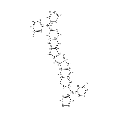 Cc1cccc(N(C2=Cc3cc4oc5cc6c(cc5c4cc3CC2)oc2cc3c(cc26)C=CC(N(c2ccccc2)c2cccc(C)c2)C3)c2ccccc2)c1